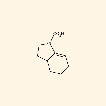 O=C(O)N1CCC2CCCC=C21